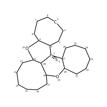 S=P12C3CCCCCCC3OC3CCCCCCC(OC4CCCCCCC41)C32